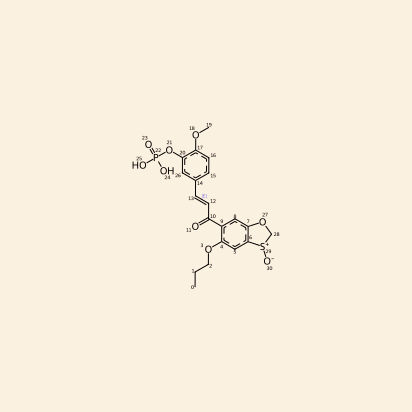 CCCOc1cc2c(cc1C(=O)/C=C/c1ccc(OC)c(OP(=O)(O)O)c1)OC[S+]2[O-]